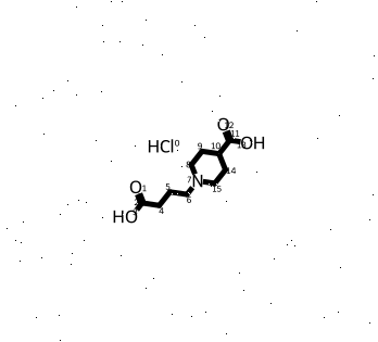 Cl.O=C(O)CCCN1CCC(C(=O)O)CC1